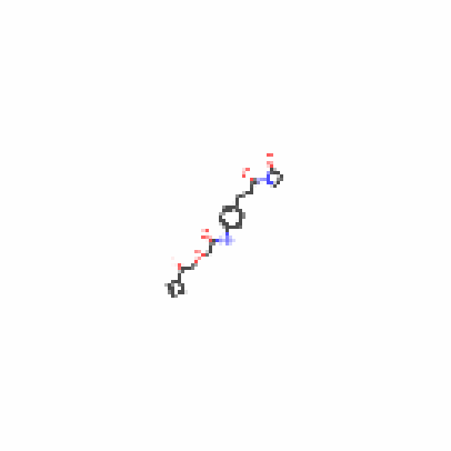 O=C(COCC(=O)C1C=CC1)Nc1ccc(CCC(=O)N2CCC2=O)cc1